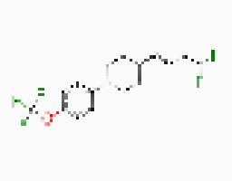 FC(F)C/C=C/[C@H]1CC[C@H](c2ccc(OC(F)(F)F)cc2)CC1